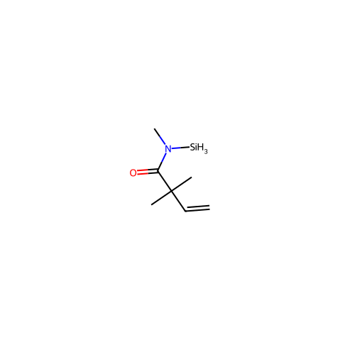 C=CC(C)(C)C(=O)N(C)[SiH3]